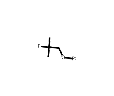 CCOCC(C)(C)F